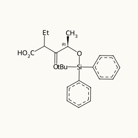 CCC(C(=O)O)C(=O)[C@@H](C)O[Si](c1ccccc1)(c1ccccc1)C(C)(C)C